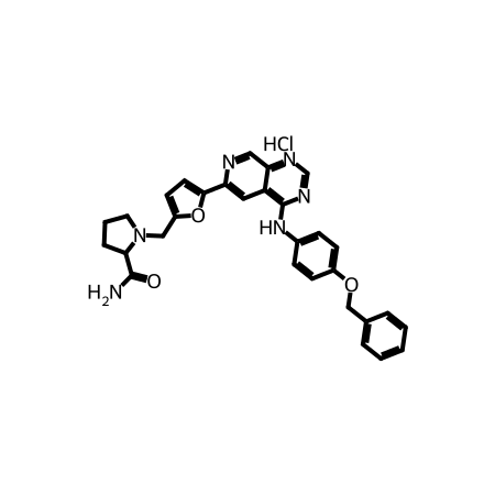 Cl.NC(=O)C1CCCN1Cc1ccc(-c2cc3c(Nc4ccc(OCc5ccccc5)cc4)ncnc3cn2)o1